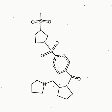 CS(=O)(=O)C1CCN(S(=O)(=O)c2ccc(C(=O)N3CCCC3CN3CCCC3)cc2)C1